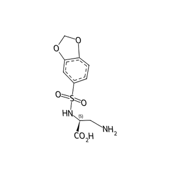 NC[C@H](NS(=O)(=O)c1ccc2c(c1)OCO2)C(=O)O